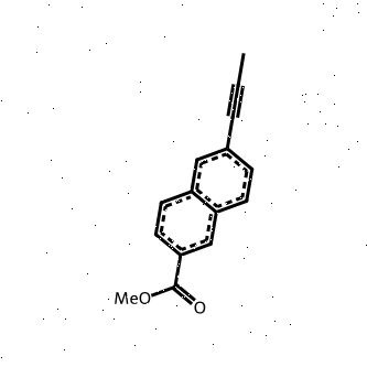 CC#Cc1ccc2cc(C(=O)OC)ccc2c1